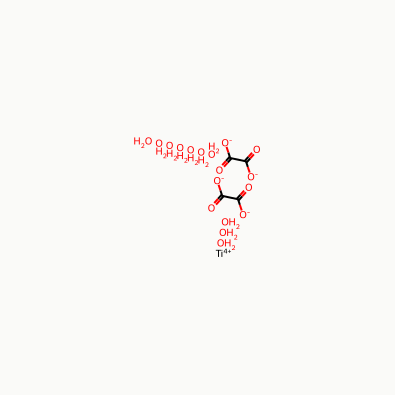 O.O.O.O.O.O.O.O.O.O.O=C([O-])C(=O)[O-].O=C([O-])C(=O)[O-].[Ti+4]